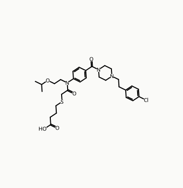 CC(C)OCCN(C(=O)CSCCCC(=O)O)c1ccc(C(=O)N2CCN(CCc3ccc(Cl)cc3)CC2)cc1